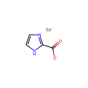 O=C([O-])c1ncc[nH]1.[Cs+]